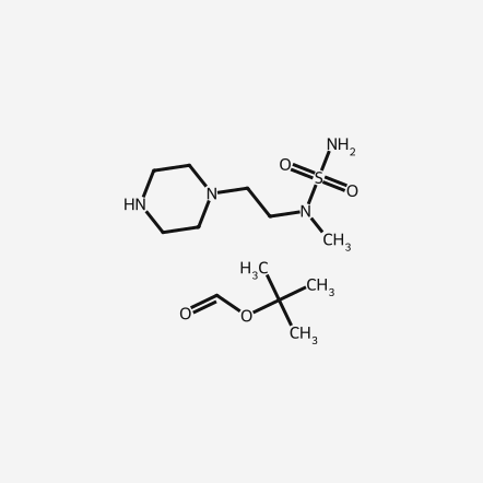 CC(C)(C)OC=O.CN(CCN1CCNCC1)S(N)(=O)=O